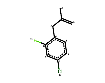 C=C(C)Cc1ccc(Cl)cc1F